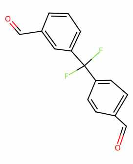 O=Cc1ccc(C(F)(F)c2cccc(C=O)c2)cc1